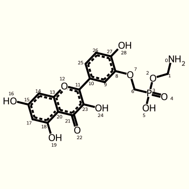 NCOP(=O)(O)COc1cc(-c2oc3cc(O)cc(O)c3c(=O)c2O)ccc1O